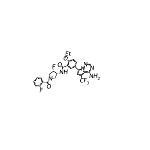 CCOc1ccc(-c2cc(C(F)(F)F)c3c(N)ncnn23)cc1C(=O)N[C@@H]1CN(C(=O)c2ccccc2F)C[C@@H]1F